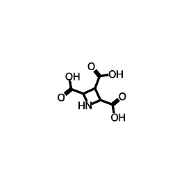 O=C(O)C1NC(C(=O)O)C1C(=O)O